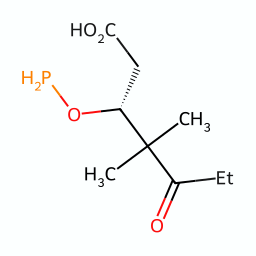 CCC(=O)C(C)(C)[C@@H](CC(=O)O)OP